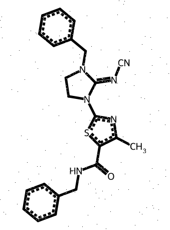 Cc1nc(N2CCN(Cc3ccccc3)C2=NC#N)sc1C(=O)NCc1ccccc1